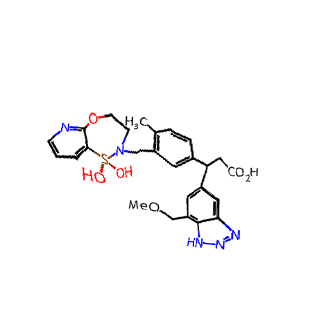 COCc1cc(C(CC(=O)O)c2ccc(C)c(CN3CCOc4ncccc4S3(O)O)c2)cc2nn[nH]c12